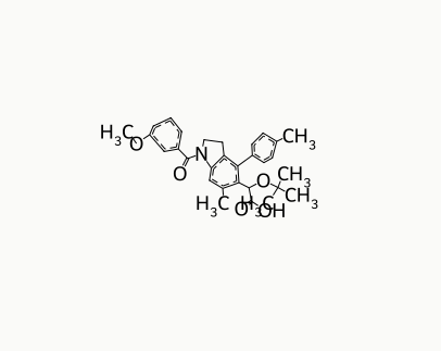 COc1cccc(C(=O)N2CCc3c2cc(C)c(C(OC(C)(C)C)C(=O)O)c3-c2ccc(C)cc2)c1